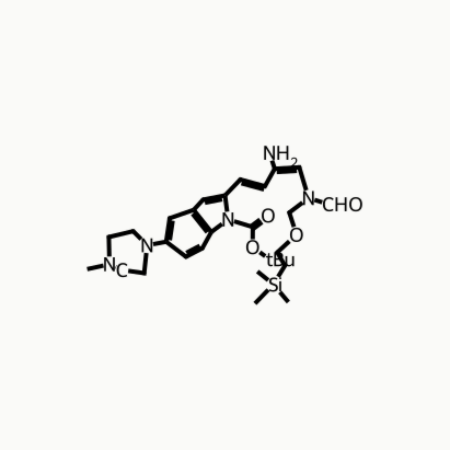 CN1CCN(c2ccc3c(c2)cc(/C=C/C(N)=C\N(C=O)COCC[Si](C)(C)C)n3C(=O)OC(C)(C)C)CC1